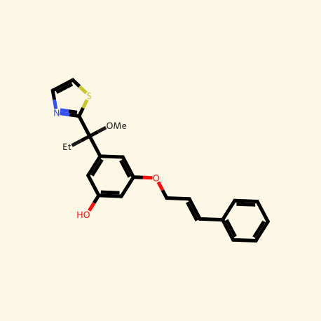 CCC(OC)(c1cc(O)cc(OCC=Cc2ccccc2)c1)c1nccs1